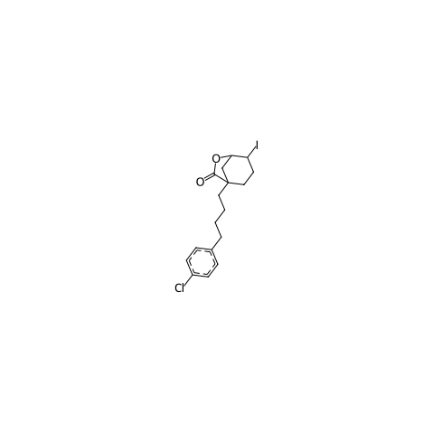 O=C1OC2CC1(CCCCc1ccc(Cl)cc1)CCC2I